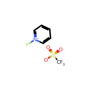 F[n+]1ccccc1.O=S(=O)([O-])C(F)(F)F